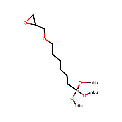 CCCCO[Si](CCCCCCOCC1CO1)(OCCCC)OCCCC